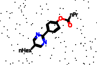 CCCCCCc1cnc(-c2ccc(OC(=O)CCC)cc2)nc1